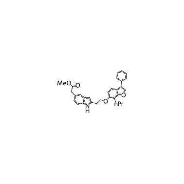 CCCc1c(OCCc2cc3cc(CC(=O)OC)ccc3[nH]2)ccc2c(-c3ccccc3)coc12